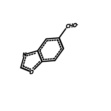 O=[C]c1ccc2ocnc2c1